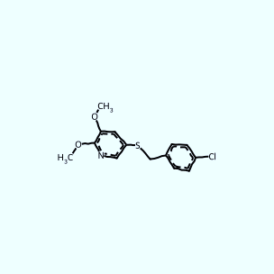 COc1cc(SCc2ccc(Cl)cc2)cnc1OC